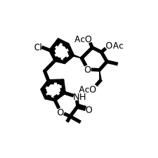 CC(=O)OC[C@H]1O[C@@H](c2ccc(Cl)c(Cc3ccc4c(c3)NC(=O)C(C)(C)O4)c2)C(OC(C)=O)C(OC(C)=O)C1C